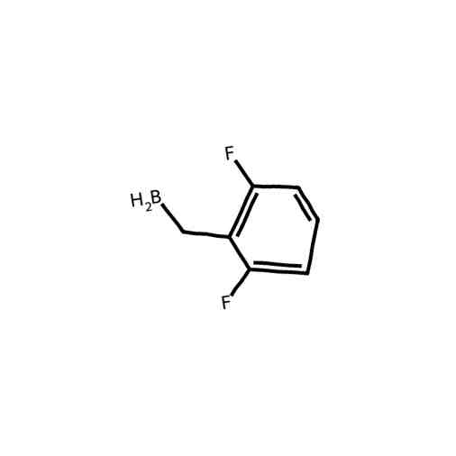 BCc1c(F)cccc1F